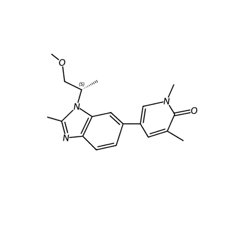 COC[C@H](C)n1c(C)nc2ccc(-c3cc(C)c(=O)n(C)c3)cc21